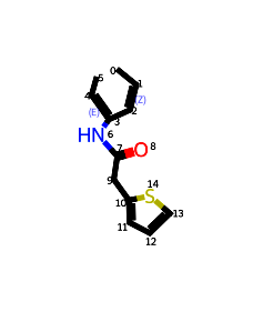 C/C=C\C(=C/C)NC(=O)Cc1cccs1